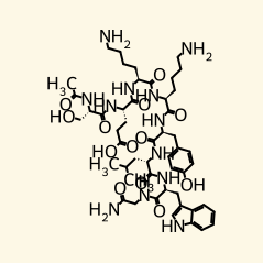 CC(=O)N[C@@H](CO)C(=O)N[C@@H](CCC(=O)O)C(=O)N[C@@H](CCCCN)C(=O)N[C@@H](CCCCN)C(=O)N[C@@H](Cc1ccc(O)cc1)C(=O)N[C@@H](CC(C)C)C(=O)N[C@@H](Cc1c[nH]c2ccccc12)C(=O)NCC(N)=O